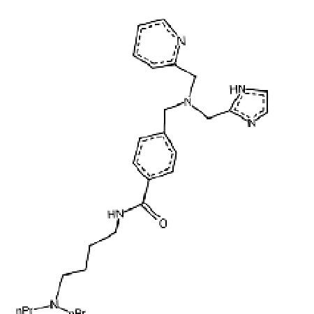 CCCN(CCC)CCCCNC(=O)c1ccc(CN(Cc2ccccn2)Cc2ncc[nH]2)cc1